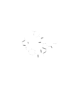 CCOC(=O)N1CC(C(=O)C(=O)N2CCN(C)CC2)c2cc(C(=O)N3CCC(Cc4ccc(F)cc4)CC3)c(Cl)cc21